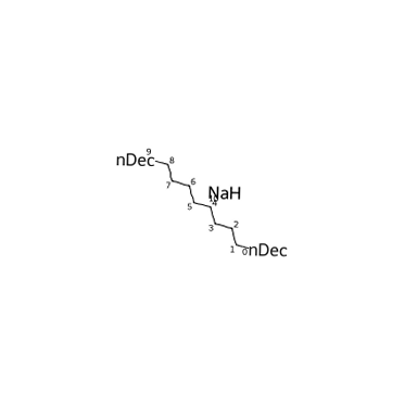 [CH2]CCCCCCCCCCCCCCCCCCCCCCCCCCC.[NaH]